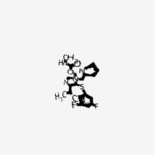 CNC(=O)OC[N+]1(Cc2ccccn2)C=NC(C(C)C)=C1Sc1cc(F)cc(F)c1